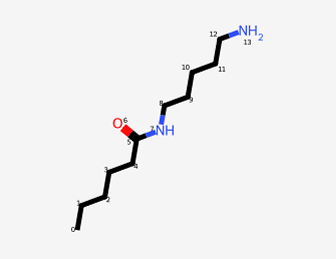 CCCCCC(=O)NCCCCCN